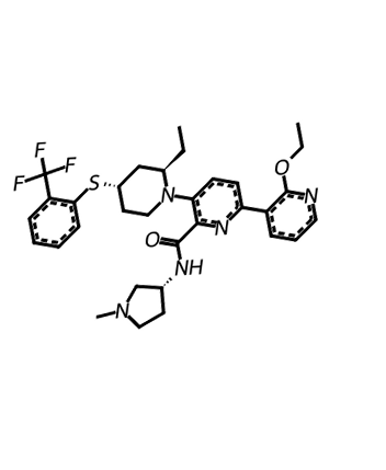 CCOc1ncccc1-c1ccc(N2CC[C@H](Sc3ccccc3C(F)(F)F)C[C@H]2CC)c(C(=O)N[C@@H]2CCN(C)C2)n1